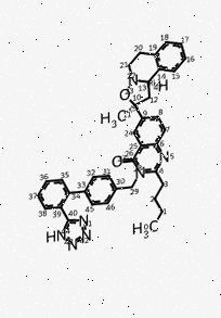 CCCCc1nc2ccc([C@]3(C)C[C@@H]4c5ccccc5CCN4O3)cc2c(=O)n1Cc1ccc(-c2ccccc2-c2nnn[nH]2)cc1